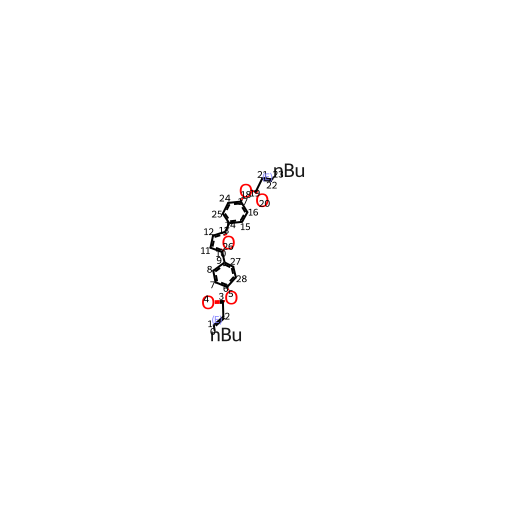 CCCC/C=C/C(=O)Oc1ccc(-c2ccc(-c3ccc(OC(=O)/C=C/CCCC)cc3)o2)cc1